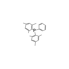 Cc1cc(C)c(P(c2ccccc2)c2c(C)cc(C)cc2C)c(C)c1